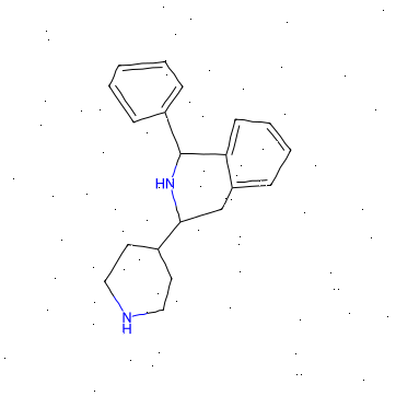 c1ccc(C2NC(C3CCNCC3)Cc3ccccc32)cc1